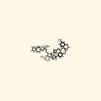 C[C@H]([C@@H](C)CCC[C@@](C)(O)CN1CCC2(CC1)OCCO2)S(=O)(=O)NC(=O)c1ccc2c(c1)N(CC1CCC1)C[C@@]1(CCCc3cc(Cl)ccc31)CO2